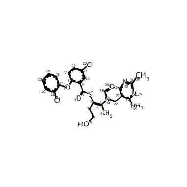 C/C(=C(\CCO)SC(=O)c1cc(Cl)ccc1Oc1ccccc1Cl)N(C=O)Cc1cnc(C)nc1N